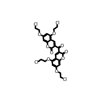 O=C(c1cc2c(OCCCl)cc(OCCCl)cc2oc1=O)c1cc2c(OCCCl)cc(OCCCl)cc2oc1=O